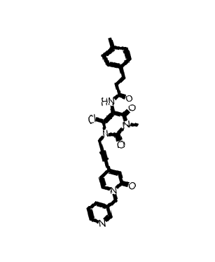 Cc1ccc(CCC(=O)Nc2c(Cl)n(CC#Cc3ccn(Cc4cccnc4)c(=O)c3)c(=O)n(C)c2=O)cc1